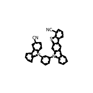 N#Cc1ccc2c(c1)c1ccccc1n2-c1cccc(-n2c3ccccc3c3cc4c(cc32)sc2c(C#N)cccc24)c1